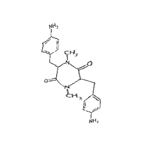 CN1C(=O)C(Cc2ccc(N)cc2)N(C)C(=O)C1Cc1ccc(N)cc1